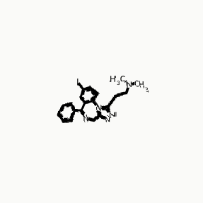 CN(C)CCc1nnc2n1-c1ccc(I)cc1C(c1ccccc1)=NC2